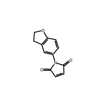 O=C1C=CC(=O)N1c1ccc2c(c1)CCO2